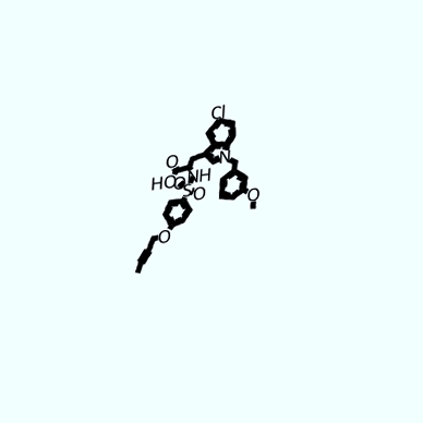 CC#CCOc1ccc(S(=O)(=O)NC(Cc2cn(Cc3cccc(OC)c3)c3ccc(Cl)cc23)C(=O)O)cc1